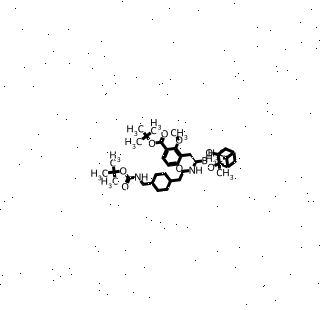 COc1c(C[C@H](NC(=O)CC2CCC(CNC(=O)OC(C)(C)C)CC2)B2OC3CC4CC(C4(C)C)C3(C)O2)cccc1C(=O)OC(C)(C)C